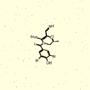 CNC1=C(C=N)O[C@@H](C)CN1C(=O)c1cc(Br)c(O)c(Br)c1